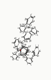 c1ccc(-c2ccccc2-c2ccc(N(c3cccc(-c4cccc5c6ccccc6n(-c6ccccc6)c45)c3)c3ccccc3-n3c4ccccc4c4ccccc43)cc2)cc1